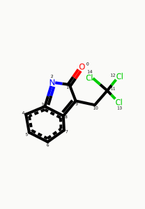 O=C1N=c2ccccc2=C1CC(Cl)(Cl)Cl